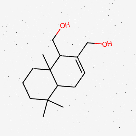 CC1(C)CCCC2(C)C(CO)C(CO)=CCC12